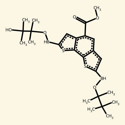 COC(=O)c1cc2cc(BOC(C)(C)C(C)(C)C)sc2c2sc(BOC(C)(C)C(C)(C)O)cc12